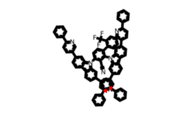 N#Cc1c(-n2c3cc(-c4ccc(-c5ccccc5)nc4)ccc3c3ccc(-c4ccc(-c5ccccc5)nc4)cc32)ccc(-c2ccccc2C(F)(F)F)c1-n1c2cc(-c3ccc(-c4ccccc4)nc3)ccc2c2ccc(-c3ccc(-c4ccccc4)nc3)cc21